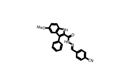 COc1ccc2[nH]c(C(=O)NN=Cc3ccc(C#N)cc3)c(-c3ccccc3)c2c1